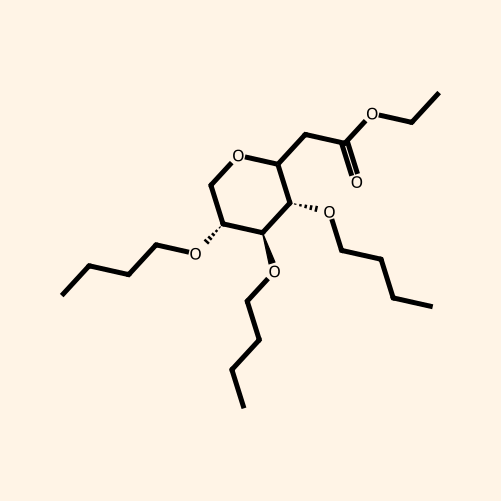 CCCCO[C@H]1[C@H](OCCCC)COC(CC(=O)OCC)[C@@H]1OCCCC